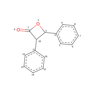 O=C1OC(c2ccccc2)C1c1ccccc1